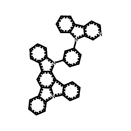 c1cc(-n2c3ccccc3c3ccncc32)cc(-n2c3ccccc3c3cc4c5ccccc5n5c6ccccc6c(c32)c45)c1